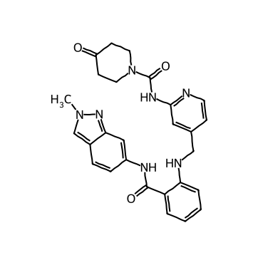 Cn1cc2ccc(NC(=O)c3ccccc3NCc3ccnc(NC(=O)N4CCC(=O)CC4)c3)cc2n1